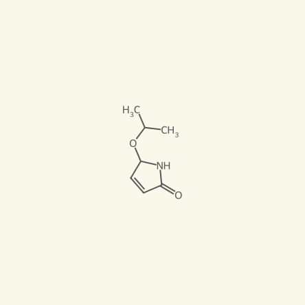 CC(C)OC1C=CC(=O)N1